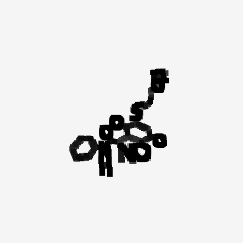 CCOCCSC1=CC(=O)c2onc(C(=O)Nc3ccccc3)c2C1=O